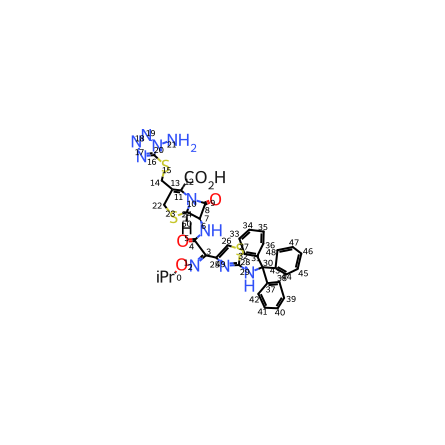 CC(C)O/N=C(\C(=O)N[C@@H]1C(=O)N2C(C(=O)O)=C(CSc3nnnn3N)CS[C@@H]12)c1csc(NC(c2ccccc2)(c2ccccc2)c2ccccc2)n1